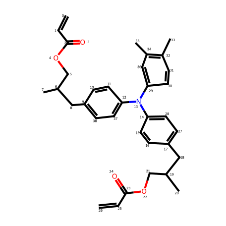 C=CC(=O)OCC(C)Cc1ccc(N(c2ccc(CC(C)COC(=O)C=C)cc2)c2ccc(C)c(C)c2)cc1